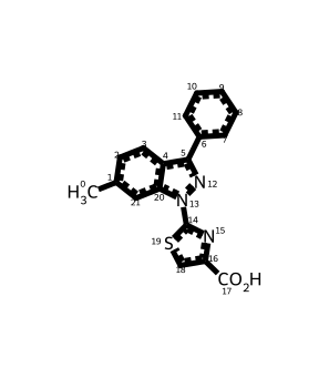 Cc1ccc2c(-c3ccccc3)nn(-c3nc(C(=O)O)cs3)c2c1